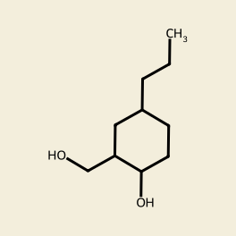 CCCC1CCC(O)C(CO)C1